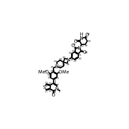 COc1cc(-c2cn(C)c(=O)c3cscc23)cc(OC)c1CN1CCC2(CC1)CN(c1ccc3c(c1)C(=O)N(C1CCC(=O)NC1=O)C3=O)C2